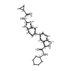 O=C(NC1CCCCC1)c1nsc2ncc(-c3ccc4nc(NC(=O)C5CC5)sc4c3)cc12